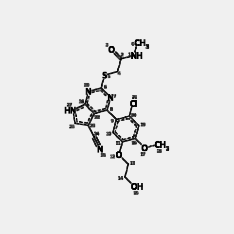 CNC(=O)CSc1nc(-c2cc(OCCO)c(OC)cc2Cl)c2c(C#N)c[nH]c2n1